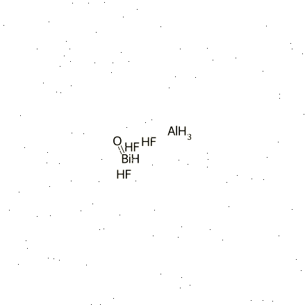 F.F.F.[AlH3].[O]=[BiH]